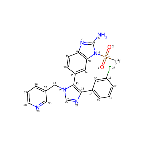 CC(C)S(=O)(=O)n1c(N)nc2ccc(-c3c(-c4cccc(F)c4)ncn3Cc3cccnc3)cc21